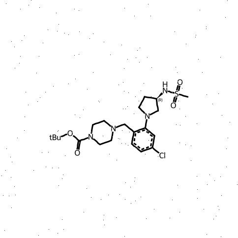 CC(C)(C)OC(=O)N1CCN(Cc2ccc(Cl)cc2N2CC[C@@H](NS(C)(=O)=O)C2)CC1